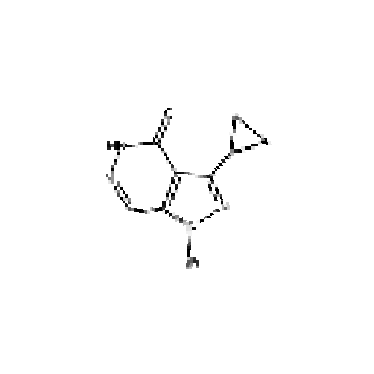 CC(C)n1nc(C2CC2)c2c(=O)[nH]ncc21